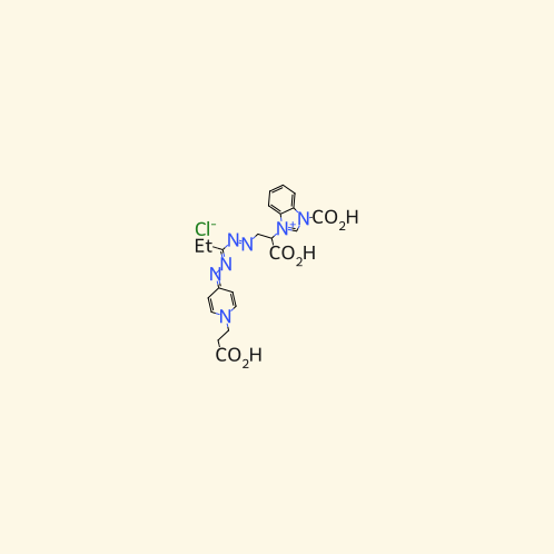 CCC(N=NCC(C(=O)O)[n+]1cn(C(=O)O)c2ccccc21)=NN=c1ccn(CCC(=O)O)cc1.[Cl-]